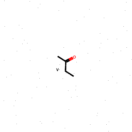 CCC(C)=O.[V]